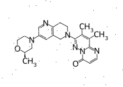 Cc1c(N2CCc3ncc(N4CCO[C@H](C)C4)cc3C2)nn2c(=O)ccnc2c1C